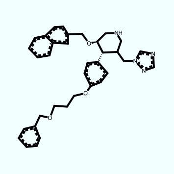 c1ccc(COCCCOc2ccc([C@H]3C(Cn4cncn4)CNC[C@@H]3OCc3ccc4ccccc4c3)cc2)cc1